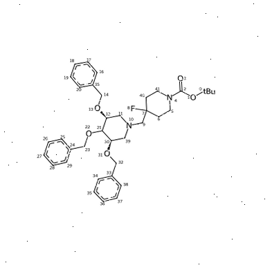 CC(C)(C)OC(=O)N1CCC(F)(CN2C[C@H](OCc3ccccc3)C(OCc3ccccc3)[C@H](OCc3ccccc3)C2)CC1